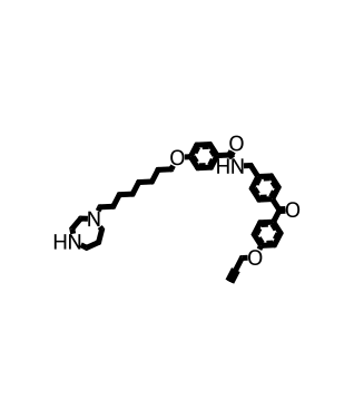 C#CCOc1ccc(C(=O)c2ccc(CNC(=O)c3ccc(OCCCCCCCCN4CCCNCC4)cc3)cc2)cc1